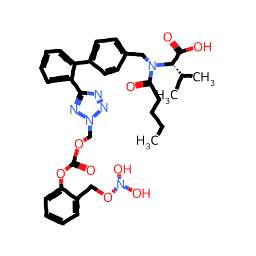 CCCCC(=O)N(Cc1ccc(-c2ccccc2-c2nnn(COC(=O)Oc3ccccc3CON(O)O)n2)cc1)[C@H](C(=O)O)C(C)C